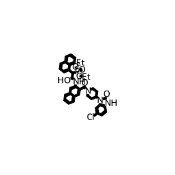 CCOP(=O)(OCC)C(c1cccc2ccccc12)C(O)Nc1cc2ccccc2cc1C(=O)N1CCC(n2c(=O)[nH]c3ccc(Cl)cc32)CC1